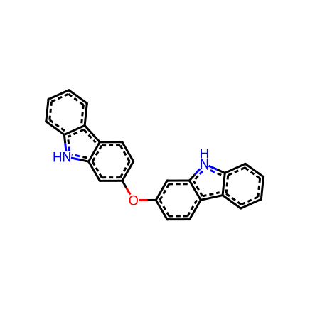 c1ccc2c(c1)[nH]c1cc(Oc3ccc4c(c3)[nH]c3ccccc34)ccc12